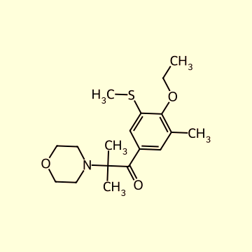 CCOc1c(C)cc(C(=O)C(C)(C)N2CCOCC2)cc1SC